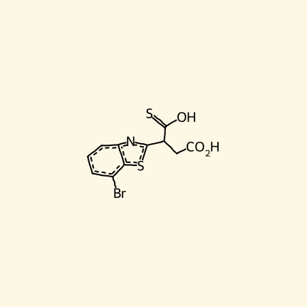 O=C(O)CC(C(O)=S)c1nc2cccc(Br)c2s1